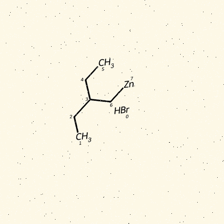 Br.CCC(CC)[CH2][Zn]